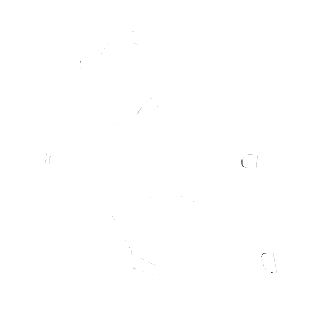 Clc1cccc(-c2ccccc2Br)c1Cl